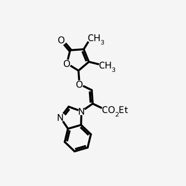 CCOC(=O)/C(=C/OC1OC(=O)C(C)=C1C)n1cnc2ccccc21